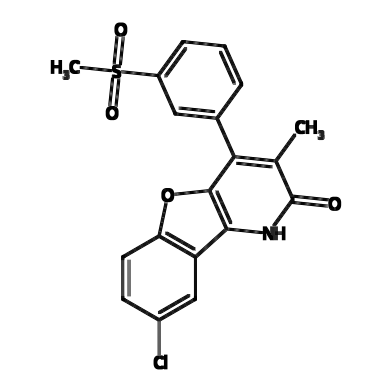 Cc1c(-c2cccc(S(C)(=O)=O)c2)c2oc3ccc(Cl)cc3c2[nH]c1=O